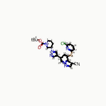 CC(C)(C)OC(=O)N1CCC[C@H](n2cc(-c3cc(Sc4cccc(Cl)n4)c4c(C#N)cnn4c3)cn2)C1